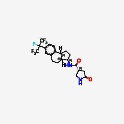 O=C1C[C@@H](C(=O)N[C@@H]2CC[C@H]3c4ccc(C(F)(C(F)(F)F)C(F)(F)F)cc4CC[C@@H]23)CN1